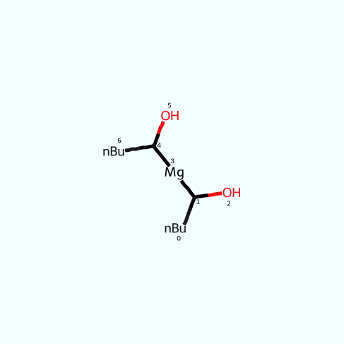 CCCC[CH](O)[Mg][CH](O)CCCC